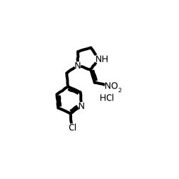 Cl.O=[N+]([O-])C=C1NCCN1Cc1ccc(Cl)nc1